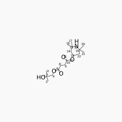 CC(C)(O)COC(=O)CCC(=O)OC1CC(C)(C)NC(C)(C)C1